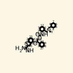 CN(Cc1ccccc1)Cc1ccccc1NC(=O)OCC(Oc1cccc2sc(C(=N)N)cc12)c1ccccc1